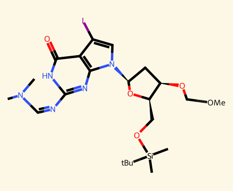 COCO[C@@H]1C[C@H](n2cc(I)c3c(=O)[nH]c(/N=C\N(C)C)nc32)O[C@@H]1CO[Si](C)(C)C(C)(C)C